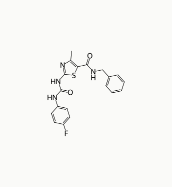 Cc1nc(NC(=O)Nc2ccc(F)cc2)sc1C(=O)NCc1ccccc1